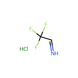 Cl.N=CC(F)(F)F